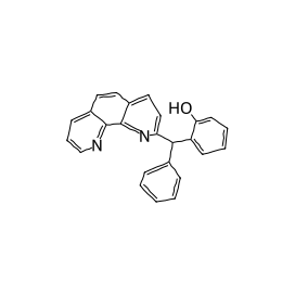 Oc1ccccc1C(c1ccccc1)c1ccc2ccc3cccnc3c2n1